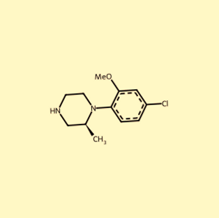 COc1cc(Cl)ccc1N1CCNC[C@@H]1C